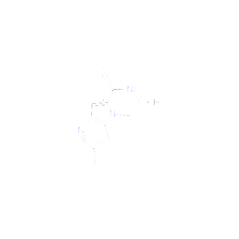 C[C@@H]1Cn2c(cc3ncc(F)cc32)C(=O)N1